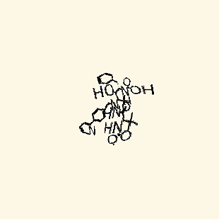 COC(=O)N[C@H](C(=O)NN(Cc1ccc(-c2ccccn2)cc1)C([C@@H](O)[C@H](Cc1ccccc1)NC(=O)O)C(C)(C)C)C(C)(C)C